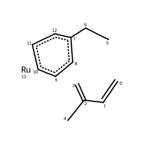 C=CC(=C)C.CCc1ccccc1.[Ru]